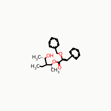 CCC([C@H](C)O)[C@@H](C)OC(=O)C(=Cc1ccccc1)OCc1ccccc1